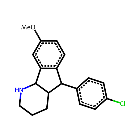 COc1ccc2c(c1)C1NCCCC1C2c1ccc(Cl)cc1